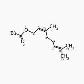 CCC(C)C(=O)OC/C=C(/C)CCC=C(C)C